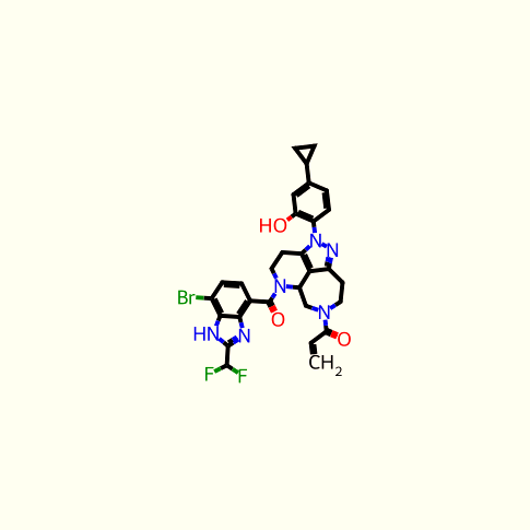 C=CC(=O)N1CCc2nn(-c3ccc(C4CC4)cc3O)c3c2C(C1)N(C(=O)c1ccc(Br)c2[nH]c(C(F)F)nc12)CC3